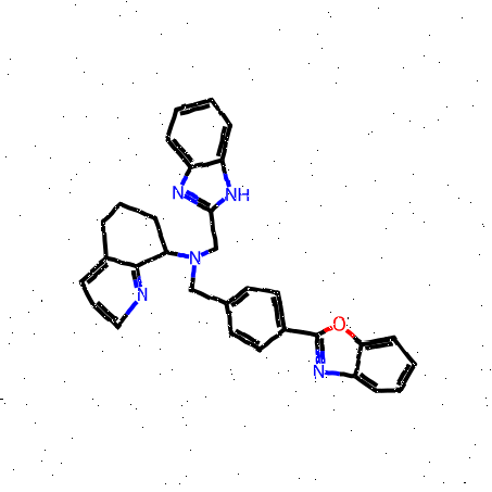 c1cnc2c(c1)CCCC2N(Cc1ccc(-c2nc3ccccc3o2)cc1)Cc1nc2ccccc2[nH]1